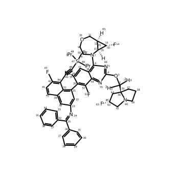 [2H]C([2H])(Oc1nc(N2CCOC[C@H]3[C@H](F)[C@H]32)c2cc(C#N)c(-c3cc(N=C(c4ccccc4)c4ccccc4)cc4ccc(F)c(C#C[Si](C(C)C)(C(C)C)C(C)C)c34)c(F)c2n1)[C@@]12CCCN1C[C@H](F)C2